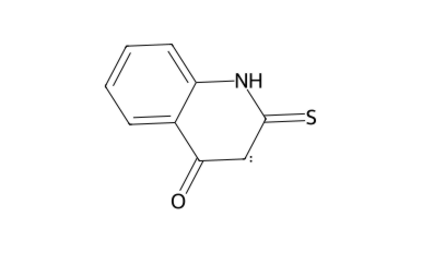 O=C1[C]C(=S)Nc2ccccc21